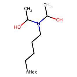 CCCCCCCCCCN(C(C)O)C(C)O